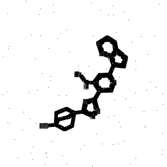 CC(C)Nc1cc(-c2ccc3cccnn23)ncc1-c1nnc(C23CCC(O)(CC2)CC3)s1